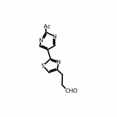 CC(=O)c1ncc(-c2nc(CCC=O)cs2)cn1